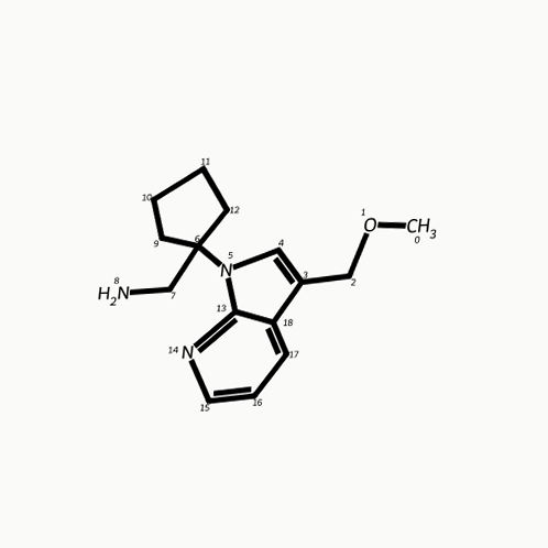 COCc1cn(C2(CN)CCCC2)c2ncccc12